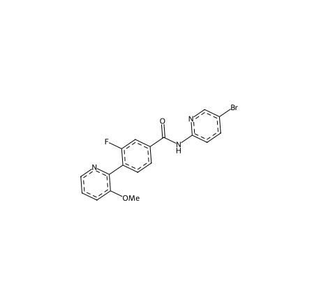 COc1cccnc1-c1ccc(C(=O)Nc2ccc(Br)cn2)cc1F